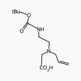 C=CCN(CCNC(=O)OC(C)(C)C)CC(=O)O